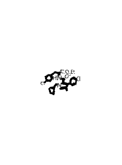 CCOC(=O)C(Cc1ccc(Cl)cc1)NC(=O)c1c(-c2ccc(Cl)cc2)c(C)cn1Cc1ccccc1